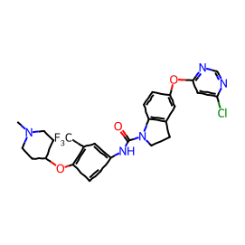 CN1CCC(Oc2ccc(NC(=O)N3CCc4cc(Oc5cc(Cl)ncn5)ccc43)cc2C(F)(F)F)CC1